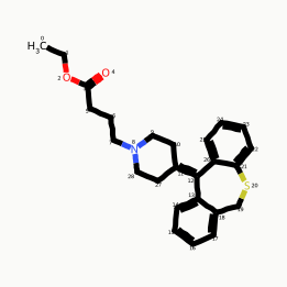 CCOC(=O)CCCN1CCC(=C2c3ccccc3CSc3ccccc32)CC1